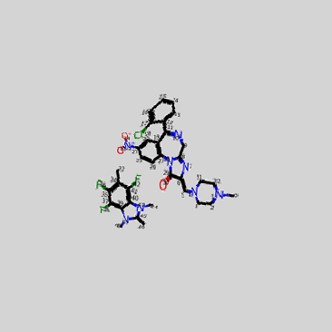 CN1CCN(/C=C2\N=C3CN=C(c4ccccc4Cl)c4cc([N+](=O)[O-])ccc4N3C2=O)CC1.Cc1c(F)c(F)c2c(c1F)N(C)C(C)N2C